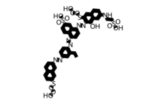 CCc1cc(N=Nc2ccc3ccc(SOOO)cc3c2)ccc1N=Nc1ccc(N=Nc2c(SOOO)cc3ccc(NCCS(=O)(=O)O)cc3c2O)c2cc(S(=O)(=O)O)ccc12